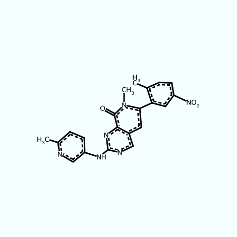 Cc1ccc(Nc2ncc3cc(-c4cc([N+](=O)[O-])ccc4C)n(C)c(=O)c3n2)cn1